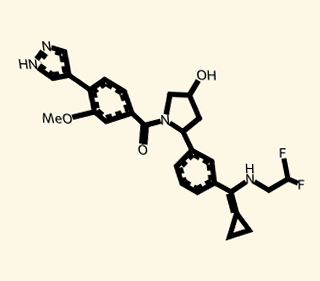 COc1cc(C(=O)N2CC(O)CC2c2cccc(C(NCC(F)F)=C3CC3)c2)ccc1-c1cn[nH]c1